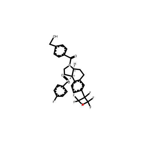 O=C(c1ccc(CO)cc1)N1CC[C@]2(S(=O)(=O)c3ccc(F)cc3)c3ccc(C(F)(C(F)(F)F)C(F)(F)F)cc3CC[C@H]12